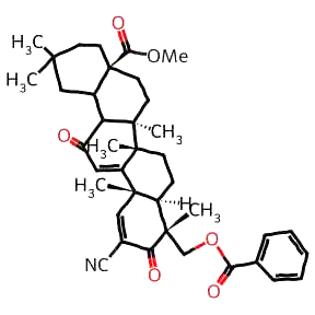 COC(=O)[C@]12CCC(C)(C)CC1C1C(=O)C=C3[C@@]4(C)C=C(C#N)C(=O)[C@@](C)(COC(=O)c5ccccc5)[C@@H]4CC[C@@]3(C)[C@]1(C)CC2